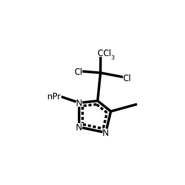 CCCn1nnc(C)c1C(Cl)(Cl)C(Cl)(Cl)Cl